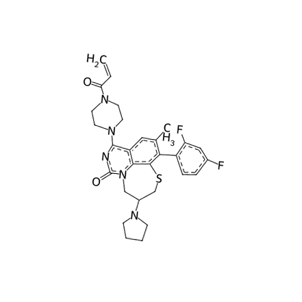 C=CC(=O)N1CCN(c2nc(=O)n3c4c(c(-c5ccc(F)cc5F)c(C)cc24)SCC(N2CCCC2)C3)CC1